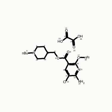 CCCCN1CCC(COC(=O)c2cc(Cl)c(N)nc2OCCC)CC1.O=C(O)C(=O)O